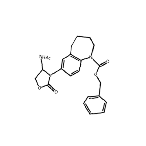 CC(=O)NC1COC(=O)N1c1ccc2c(c1)CCCCN2C(=O)OCc1ccccc1